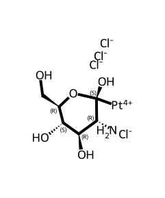 N[C@@H]1[C@@H](O)[C@H](O)[C@@H](CO)O[C@]1(O)[Pt+4].[Cl-].[Cl-].[Cl-].[Cl-]